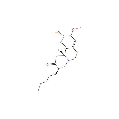 COc1cc2c(cc1OC)[C@H]1CC(=O)[C@H](CCCCI)CN1CC2